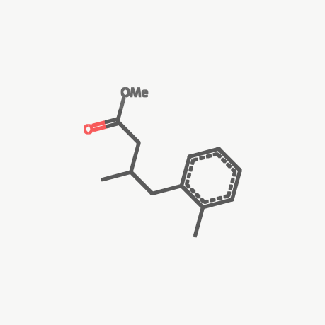 COC(=O)CC(C)Cc1ccccc1C